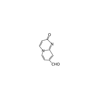 O=Cc1ccn2ccc(=O)nc2c1